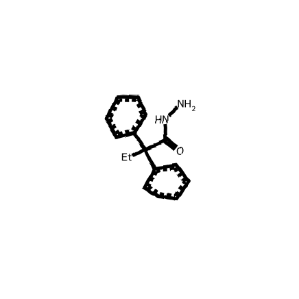 CCC(C(=O)NN)(c1ccccc1)c1ccccc1